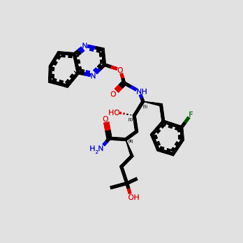 CC(C)(O)CC[C@H](C[C@H](O)[C@H](Cc1ccccc1F)NC(=O)Oc1cnc2ccccc2n1)C(N)=O